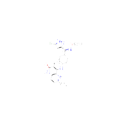 CN(c1c(C#N)c(=O)n(C)c2ccc(C#N)nc12)C1CCC(/C(=N/OC(C)(C)C)c2cc(F)nn2C)CC1